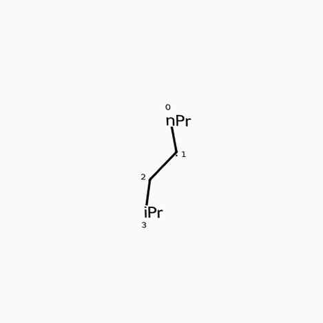 CCC[CH]CC(C)C